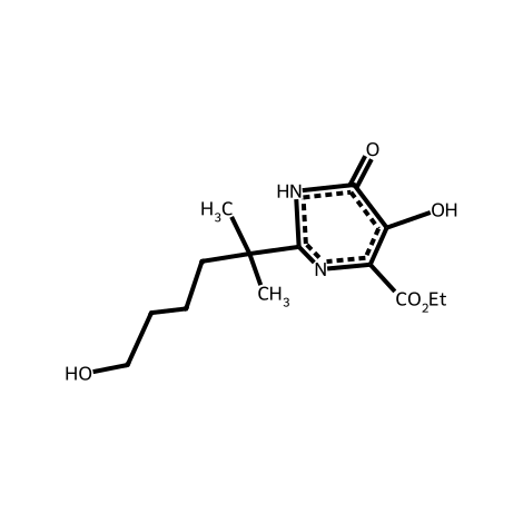 CCOC(=O)c1nc(C(C)(C)CCCCO)[nH]c(=O)c1O